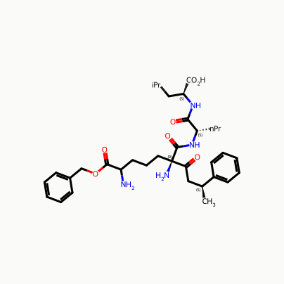 CCC[C@H](NC(=O)[C@@](N)(CCCC(N)C(=O)OCc1ccccc1)C(=O)C[C@H](C)c1ccccc1)C(=O)N[C@@H](CC(C)C)C(=O)O